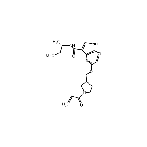 C=CC(=O)N1CCC(COc2cnc3[nH]cc(C(=O)N[C@@H](C)COC)c3n2)C1